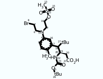 Cc1ccc(N(CCBr)CCOS(C)(=O)=O)cc1C([C@@H](CC(=O)O)NC(=O)OC(C)(C)C)C(C)(C)C